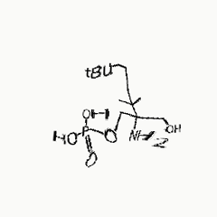 CC(C)(C)CC(C)(C)C(N)(CO)COP(=O)(O)O